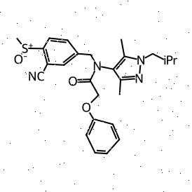 Cc1nn(CC(C)C)c(C)c1N(Cc1ccc([S+](C)[O-])c(C#N)c1)C(=O)COc1ccccc1